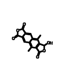 Cc1c2c(c(C)c3cc4c(cc13)C(=O)OC4=O)C(O)OC2=O